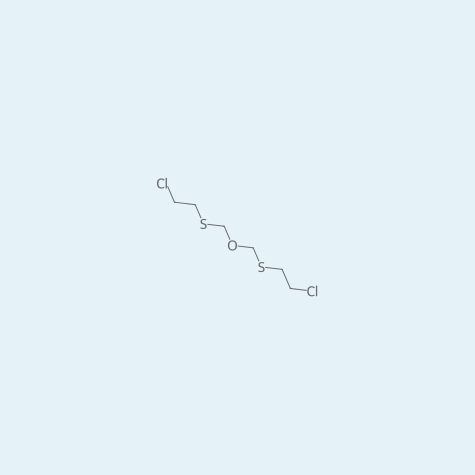 ClCCSCOCSCCCl